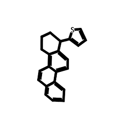 c1csc(C2CCCc3c2ccc2c3ccc3ccccc32)c1